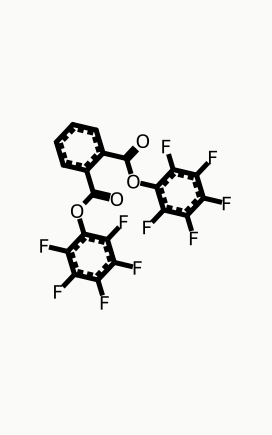 O=C(Oc1c(F)c(F)c(F)c(F)c1F)c1ccccc1C(=O)Oc1c(F)c(F)c(F)c(F)c1F